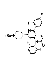 CC(C)(C)N1CCC(c2cc3c(ccc(=O)n3-c3c(F)cccc3F)c(-c3ccc(F)cc3F)n2)CC1